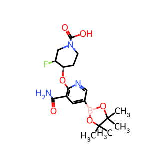 CC1(C)OB(c2cnc(O[C@@H]3CCN(C(=O)O)C[C@@H]3F)c(C(N)=O)c2)OC1(C)C